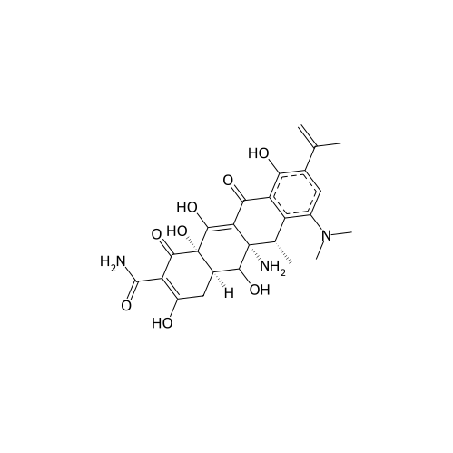 C=C(C)c1cc(N(C)C)c2c(c1O)C(=O)C1=C(O)[C@]3(O)C(=O)C(C(N)=O)=C(O)C[C@@H]3C(O)[C@]1(N)[C@H]2C